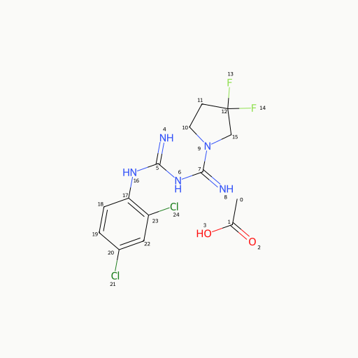 CC(=O)O.N=C(NC(=N)N1CCC(F)(F)C1)Nc1ccc(Cl)cc1Cl